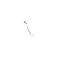 C=C(C)C(=O)OCCCCCCN(C)C(C)C